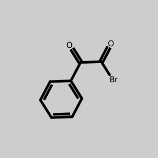 O=C(Br)C(=O)c1ccccc1